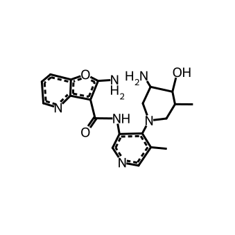 Cc1cncc(NC(=O)c2c(N)oc3cccnc23)c1N1CC(C)C(O)C(N)C1